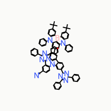 CC(C)(C)c1ccc2c(c1)B1c3cc(C(C)(C)C)ccc3N(c3ccccc3)c3cc(-c4ccc5c(c4)c4ccc(-c6nc(-c7ccccc7)nc(-c7ccccc7)n6)cc4n5-c4ccc(C#N)cc4-c4nc(-c5ccccc5)nc(-c5ccccc5)n4)cc(c31)N2c1ccccc1